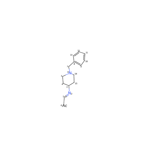 CC(=O)/C=N/C1CCN(Cc2ccccc2)CC1